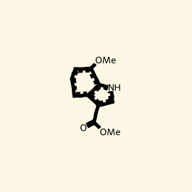 COC(=O)c1c[nH]c2c(OC)cccc12